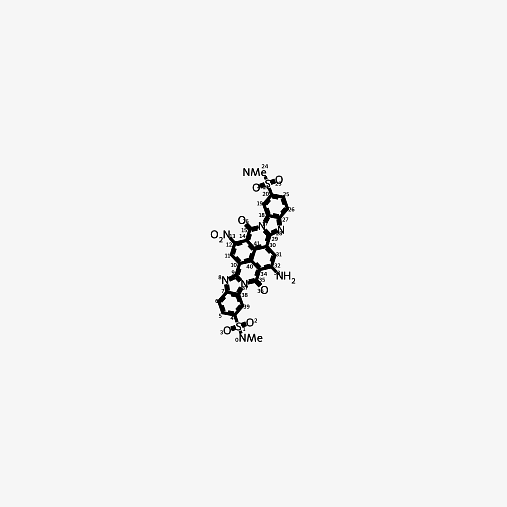 CNS(=O)(=O)c1ccc2nc3c4cc([N+](=O)[O-])c5c(=O)n6c7cc(S(=O)(=O)NC)ccc7nc6c6cc(N)c(c(=O)n3c2c1)c4c56